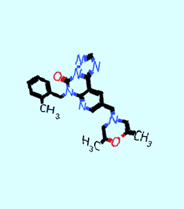 Cc1ccccc1Cn1c(=O)n2ncnc2c2cc(CN3CC(C)OC(C)C3)cnc21